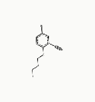 CCCCSc1ccc(Br)cc1C#N